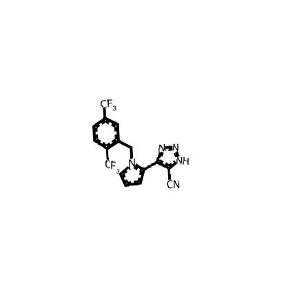 N#Cc1[nH]nnc1-c1cccn1Cc1cc(C(F)(F)F)ccc1C(F)(F)F